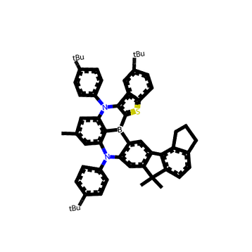 Cc1cc2c3c(c1)N(c1ccc(C(C)(C)C)cc1)c1c(sc4ccc(C(C)(C)C)cc14)B3c1cc3c(cc1N2c1ccc(C(C)(C)C)cc1)C(C)(C)c1ccc2c(c1-3)CCC2